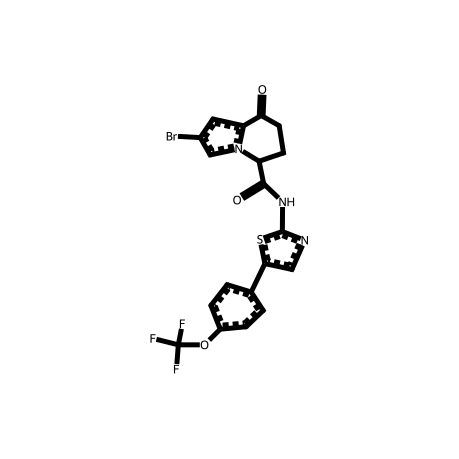 O=C1CCC(C(=O)Nc2ncc(-c3ccc(OC(F)(F)F)cc3)s2)n2cc(Br)cc21